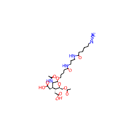 CC(=O)N[C@H]1C(OCCCCC(=O)NCCCNC(=O)CCCCCN=[N+]=[N-])O[C@@H](COC(C)=O)[C@H](CC(=O)O)[C@H]1CC(=O)O